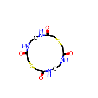 O=C1CSCC(=O)NCCNC(=O)CSCC(=O)NCCN1